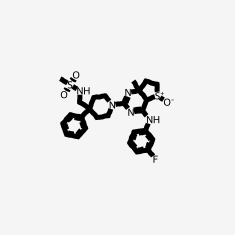 CC12CC[S+]([O-])C1C(Nc1cccc(F)c1)=NC(N1CCC(CNS(C)(=O)=O)(c3ccccc3)CC1)=N2